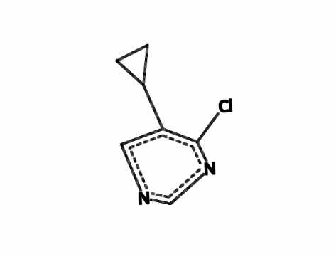 Clc1ncncc1C1CC1